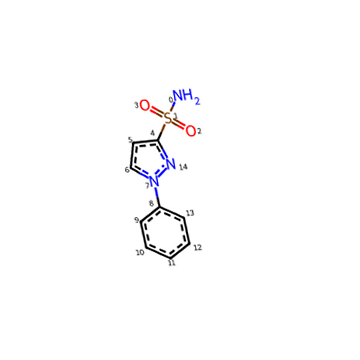 NS(=O)(=O)c1ccn(-c2ccccc2)n1